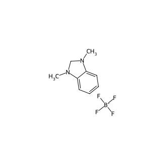 CN1CN(C)c2ccccc21.F[B-](F)(F)F